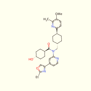 CCc1nc(-c2ccnc(N(C[C@H]3CC[C@H](c4ccc(OC)c(C)n4)CC3)C(=O)[C@H]3CC[C@H](O)CC3)c2)co1